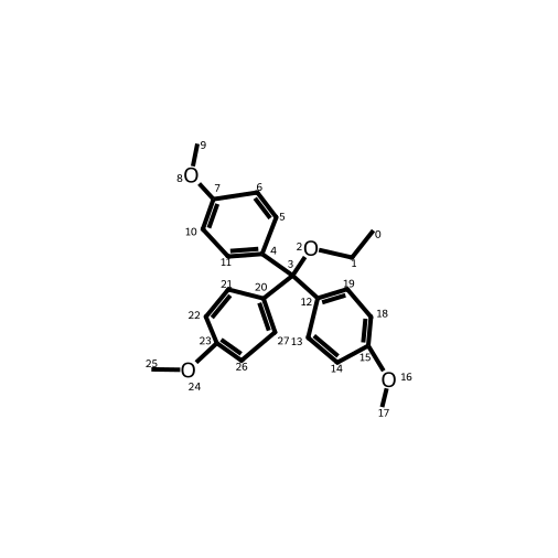 CCOC(c1ccc(OC)cc1)(c1ccc(OC)cc1)c1ccc(OC)cc1